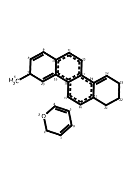 C1=CCOC=C1.CC1C=Cc2ccc3c4c(ccc3c2=C1)CCCC=4